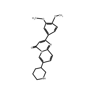 COc1ccc(-c2cc(=O)n3cc(C4CCCNC4)ccc3n2)cc1OC